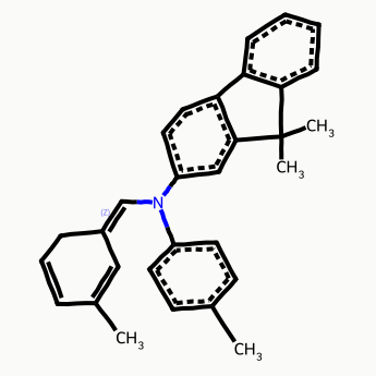 CC1=C/C(=C\N(c2ccc(C)cc2)c2ccc3c(c2)C(C)(C)c2ccccc2-3)CC=C1